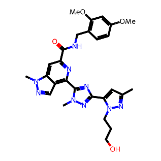 COc1ccc(CNC(=O)c2cc3c(cnn3C)c(-c3nc(-c4cc(C)nn4CCCO)nn3C)n2)c(OC)c1